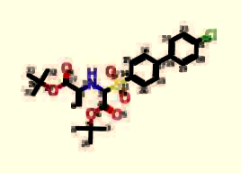 C=C(N[C@H](C(=O)OC(C)(C)C)S(=O)(=O)c1ccc(-c2ccc(Cl)cc2)cc1)C(=O)OC(C)(C)C